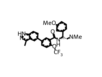 CNC[C@H](NC(=O)c1cc(-c2ccc3[nH]nc(C)c3c2)ccc1OC(F)(F)F)c1cccc(OC)c1